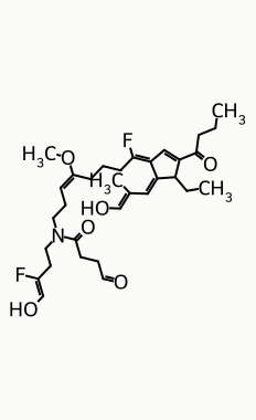 CCCC(=O)C1=CC(=C(\F)CCC/C(=C\CCN(CC/C(F)=C/O)C(=O)CCC=O)OC)/C(=C\C(C)=C\O)C1CC